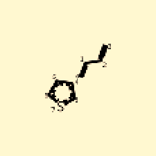 C=CC=C.c1ccsc1